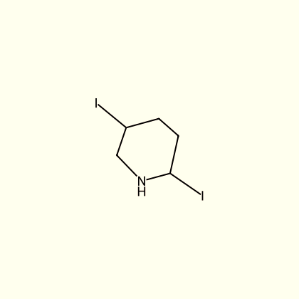 IC1CCC(I)NC1